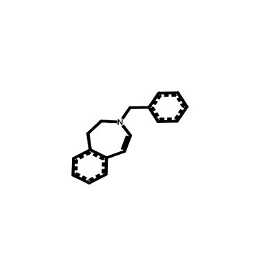 C1=CN(Cc2ccccc2)CCc2ccccc21